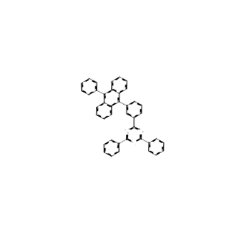 c1ccc(-c2nc(-c3ccccc3)nc(-c3cccc(-c4c5ccccc5c(-c5ccccc5)c5ccccc45)c3)n2)cc1